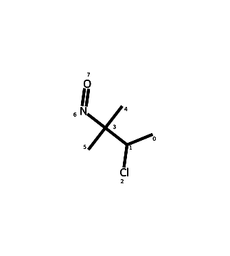 CC(Cl)C(C)(C)N=O